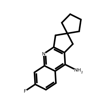 Nc1c2c(nc3cc(F)ccc13)CC1(CCCC1)C2